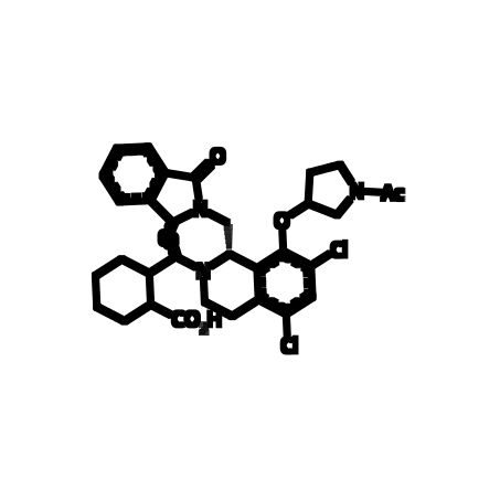 CC(=O)N1CCC(Oc2c(Cl)cc(Cl)c3c2[C@@H](CN2C(=O)c4ccccc4C2=O)N(C(=O)C2CCCCC2C(=O)O)CC3)C1